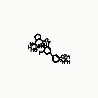 [H]/N=C(\NO)C1=C(C(=O)Nc2c(F)cc(-c3cccc(OC([2H])([2H])[2H])c3)cc2F)CCC1